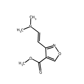 COC(=O)c1conc1C=CN(C)C